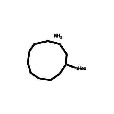 CCCCCCC1CCCCCCCCCC1.N